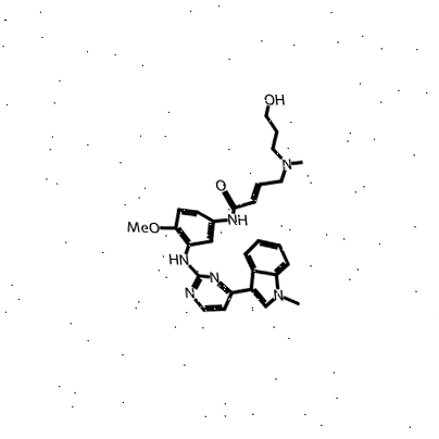 COc1ccc(NC(=O)/C=C/CN(C)CCCO)cc1Nc1nccc(-c2cn(C)c3ccccc23)n1